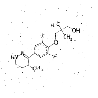 CC1CCNN=C1c1cc(F)c(OCC(C)(C)CO)c(F)c1